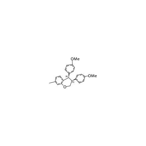 COc1ccc([C@@H]2c3ccc(C)cc3OC[C@@H]2c2ccc(OC)cc2)cc1